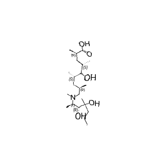 CCCC(C)(O)[C@H](O)[C@@H](C)N(C)C[C@H](C)C[C@H](C)C(O)[C@@H](C)C[C@@H](C)C(=O)O